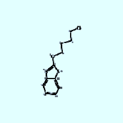 ClCCCCOc1nc2ccccc2s1